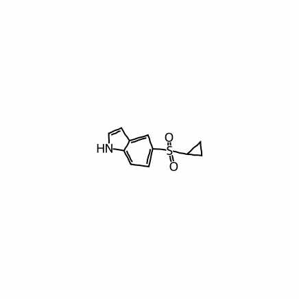 O=S(=O)(c1ccc2[nH]ccc2c1)C1CC1